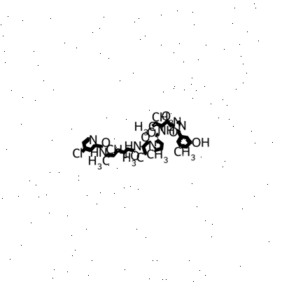 Cc1cc(O)cc(-c2nnc(C(=O)[C@@H](NC(=O)[C@@H]3CCCN3C(=O)[C@@H](NC(=O)CCCCC(C)(C)NC(=O)c3cc(Cl)ccn3)C(C)C)C(C)C)o2)c1